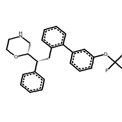 FC(F)(F)Oc1cccc(-c2ccccc2C[C@H](c2ccccc2)[C@H]2CNCCO2)c1